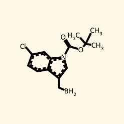 BCc1cn(C(=O)OC(C)(C)C)c2cc(Cl)ccc12